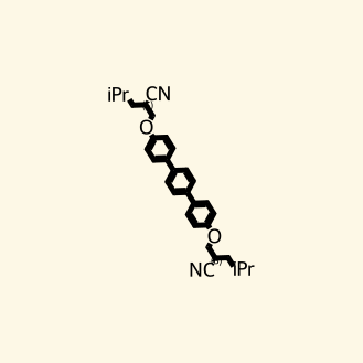 CC(C)C[C@@H](C#N)COc1ccc(-c2ccc(-c3ccc(OC[C@H](C#N)CC(C)C)cc3)cc2)cc1